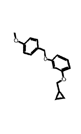 COc1ccc(COc2[c]c(OCC3CC3)ccc2)cc1